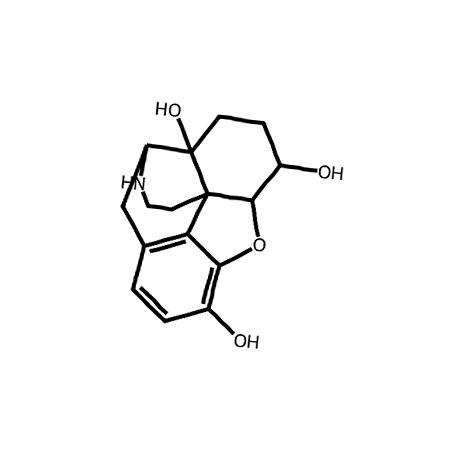 Oc1ccc2c3c1OC1C(O)CCC4(O)C(C2)NCCC314